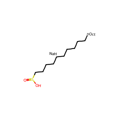 CCCCCCCCCCCCCCCCCCS(=O)O.[NaH]